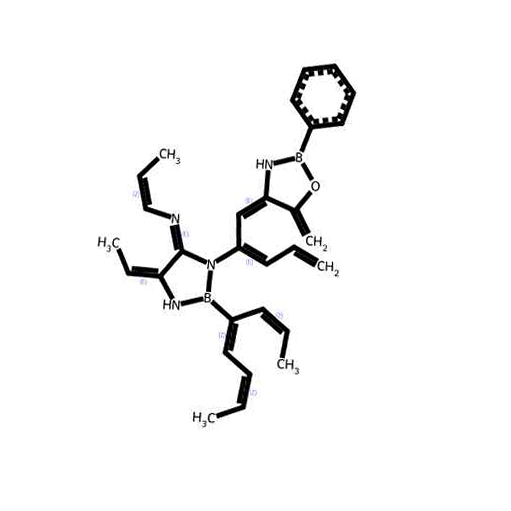 C=C/C=C(\C=C1\NB(c2ccccc2)OC1=C)N1B(C(/C=C\C)=C/C=C\C)NC(=C/C)/C1=N\C=C/C